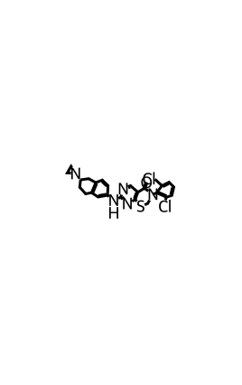 O=C1c2cnc(Nc3ccc4c(c3)CCC(N3CC3)C4)nc2SCN1c1c(Cl)cccc1Cl